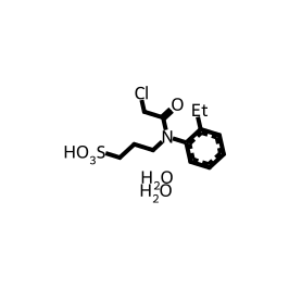 CCc1ccccc1N(CCCS(=O)(=O)O)C(=O)CCl.O.O